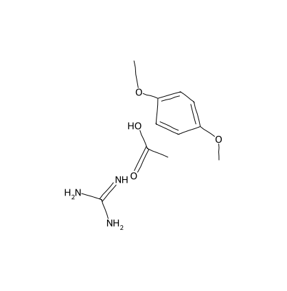 CC(=O)O.COc1ccc(OC)cc1.N=C(N)N